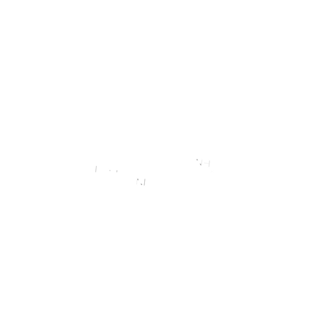 Nc1ccc(NC(=O)O)c(CCO)c1